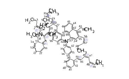 C=C/C=C(\CC)NC(/C=C1/C=CCC=CC1CC)=C(/C)C(=C)/C(=C\C=C/C)Cc1cccc(N(c2ccc(-c3ccccc3/C=C/C=C\C=C/C)cc2)c2cc(/C=C\CC)c(CC)c3ccccc23)c1